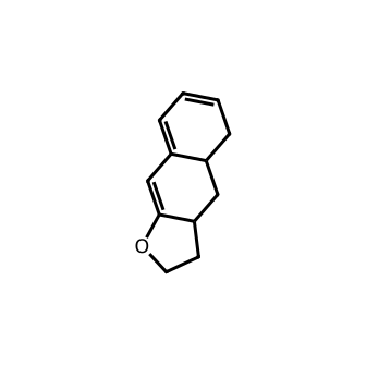 C1=CCC2CC3CCOC3=CC2=C1